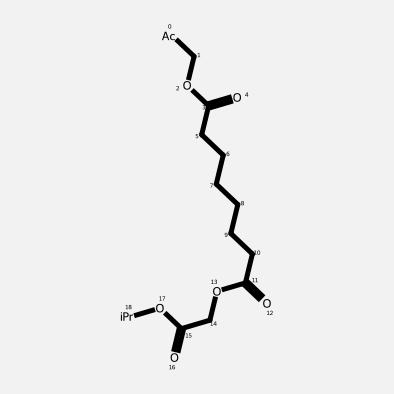 CC(=O)COC(=O)CCCCCCC(=O)OCC(=O)OC(C)C